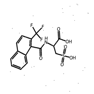 O=C(NC(CS(=O)(=O)O)C(=O)O)c1c(C(F)(F)F)ccc2ccccc12